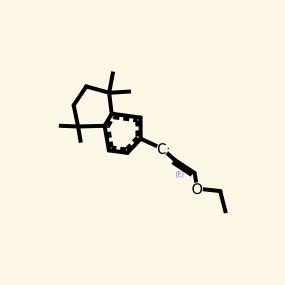 CCO/C=C/[CH]c1ccc2c(c1)C(C)(C)CCC2(C)C